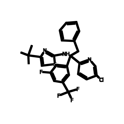 CC(C)(C)c1csc(NC(Cc2ccccc2)(c2cc(F)cc(C(F)(F)F)c2)c2ccc(Cl)cn2)n1